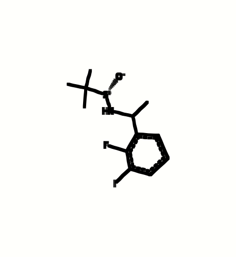 CC(N[S@@+]([O-])C(C)(C)C)c1cccc(I)c1F